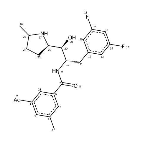 CC(=O)c1cc(C)cc(C(=O)N[C@@H](Cc2cc(F)cc(F)c2)[C@H](O)[C@H]2CCC(C)N2)c1